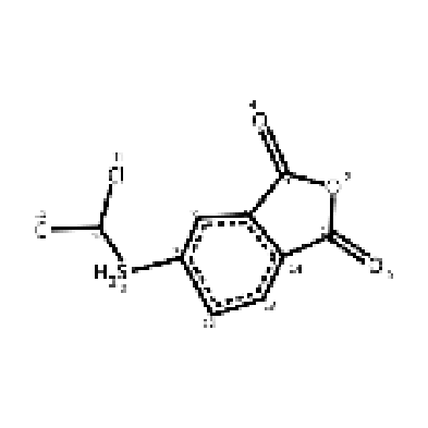 O=C1OC(=O)c2cc([SiH2]C(Cl)Cl)ccc21